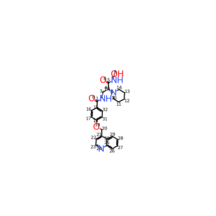 O=C(NC[C@@H](C(=O)NO)N1CCCCC1)c1ccc(OCc2ccnc3ccccc23)cc1